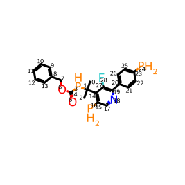 CC(C)(PC(=O)OCc1ccccc1)c1c(P)cnc(-c2ccc(P)cc2)c1F